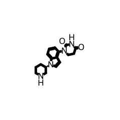 O=C1CCN(c2cccc3c2ccn3[C@@H]2CCCNC2)C(=O)N1